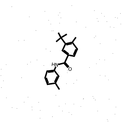 Cc1cccc(NC(=O)c2ccc(C)c(C(C)(C)C)c2)c1